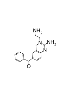 NCCN1Cc2cc(C(=O)c3ccccc3)ccc2N=C1N